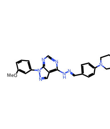 COc1cccc(-n2ncc3c(N/N=C/c4ccc(N5CCCCC5)cc4)ncnc32)c1